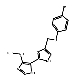 CNc1nc[nH]c1-c1nc(COc2ccc(Br)cc2)n[nH]1